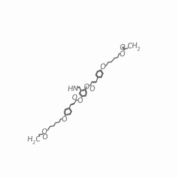 C=CC(=O)OCCCCCCOc1ccc(/C=C/C(=O)Oc2ccc(OC(=O)/C=C/c3ccc(OCCCCCCOC(=O)C=C)cc3)c(C=N)c2)cc1